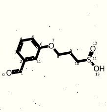 O=Cc1cccc(OCCCS(=O)O)c1